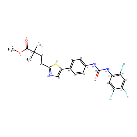 COC(=O)C(C)(C)CCc1ncc(-c2ccc(NC(=O)Nc3cc(F)c(F)cc3F)cc2)s1